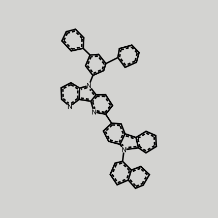 c1ccc(-c2cc(-c3ccccc3)cc(-n3c4cccnc4c4nc(-c5ccc6c(c5)c5ccccc5n6-c5cccc6ccccc56)ccc43)c2)cc1